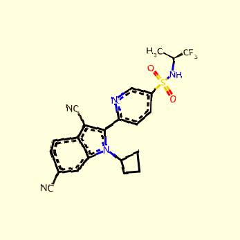 C[C@H](NS(=O)(=O)c1ccc(-c2c(C#N)c3ccc(C#N)cc3n2C2CCC2)nc1)C(F)(F)F